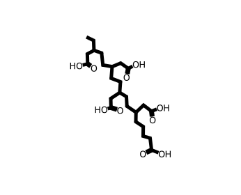 CCC(CCC(CCC(CCC(CCCCC(=O)O)CC(=O)O)CC(=O)O)CC(=O)O)CC(=O)O